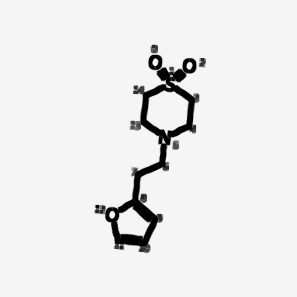 O=S1(=O)CCN(CCc2ccco2)CC1